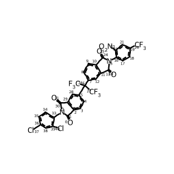 O=C1c2ccc(C(c3ccc4c(c3)C(=O)N(c3ccc(C(F)(F)F)cc3[N+](=O)[O-])C4=O)(C(F)(F)F)C(F)(F)F)cc2C(=O)N1c1ccc(Cl)cc1Cl